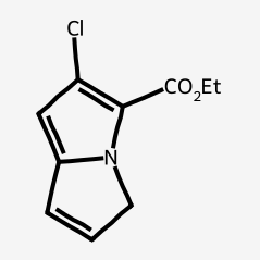 CCOC(=O)c1c(Cl)cc2n1CC=C2